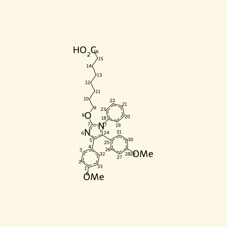 COc1ccc(-c2nc(OCCCCCCCC(=O)O)n(-c3ccccc3)c2-c2ccc(OC)cc2)cc1